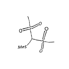 CSC(S(C)(=O)=O)S(C)(=O)=O